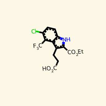 CCOC(=O)c1[nH]c2ccc(Cl)c(C(F)(F)F)c2c1CCC(=O)O